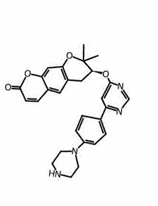 CC1(C)Oc2cc3oc(=O)ccc3cc2C[C@@H]1Oc1cc(-c2ccc(N3CCNCC3)cc2)ncn1